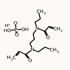 C=CC(=O)N(CCC)CCCN(CCC)C(=O)C=C.O=P([O-])(O)O.[H+]